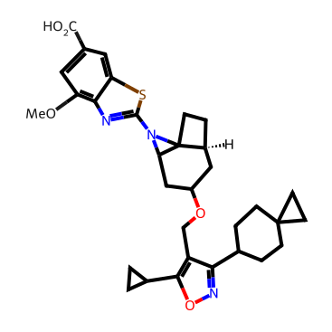 COc1cc(C(=O)O)cc2sc(N3C4CC(OCc5c(C6CCC7(CC6)CC7)noc5C5CC5)C[C@@H]5CCC453)nc12